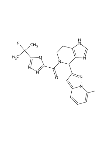 CC(C)(F)c1nnc(C(=O)N2CCc3[nH]cnc3C2c2cc3cccc(F)n3n2)o1